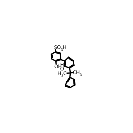 CC(C)(c1ccccc1)c1cccc(-c2cc(S(=O)(=O)O)ccc2O)c1O